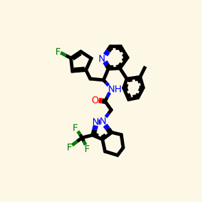 Cc1ccccc1-c1cccnc1C(CC1=CC(F)=CC1)NC(=O)Cn1nc(C(F)(F)F)c2c1CCCC2